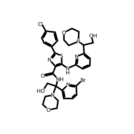 O=C(NC(CO)(c1cccc(Br)n1)N1CCOCC1)c1nc(-c2ccc(Cl)cc2)sc1Nc1cccc(C(CO)N2CCOCC2)n1